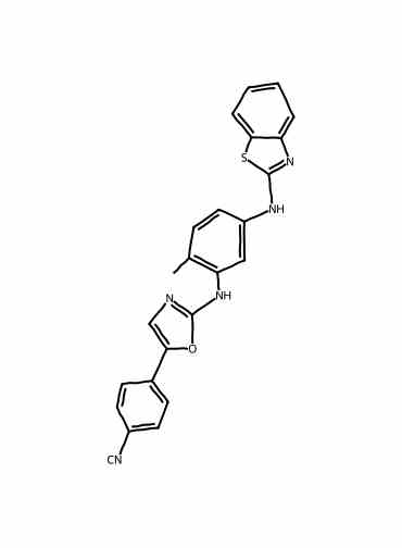 [C-]#[N+]c1ccc(-c2cnc(Nc3cc(Nc4nc5ccccc5s4)ccc3C)o2)cc1